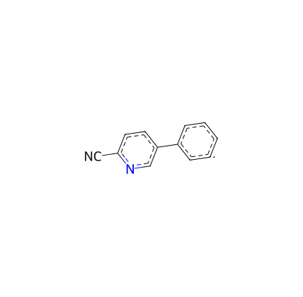 N#Cc1ccc(-c2c[c]ccc2)cn1